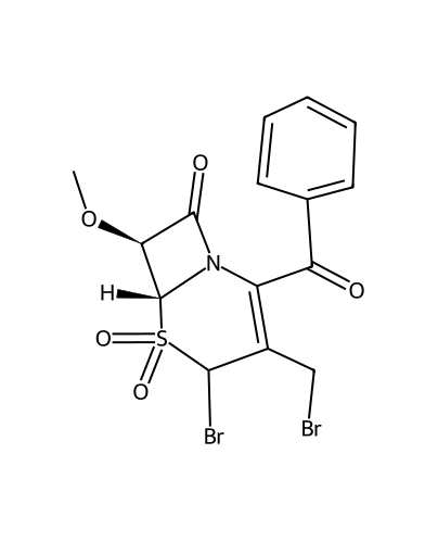 CO[C@H]1C(=O)N2C(C(=O)c3ccccc3)=C(CBr)C(Br)S(=O)(=O)[C@H]12